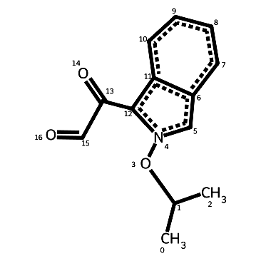 CC(C)On1cc2ccccc2c1C(=O)C=O